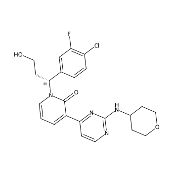 O=c1c(-c2ccnc(NC3CCOCC3)n2)cccn1[C@H](CCO)c1ccc(Cl)c(F)c1